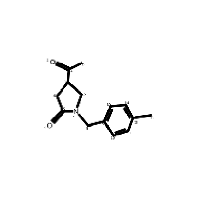 CC(=O)C1CC(=O)N(Cc2ccc(C)cc2)C1